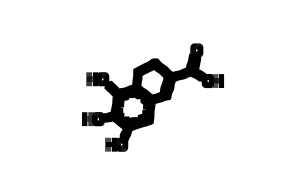 O=C(O)C1=Cc2cc(O)c(O)c(O)c2CC1